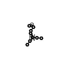 c1ccc(-c2ccc(-c3nc(-c4ccc(-c5ccccc5)cc4)nc(-c4ccc5ccc(-c6cccc7oc8ccccc8c67)cc5c4)n3)cc2)cc1